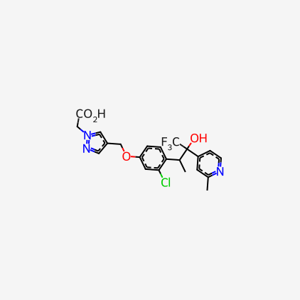 Cc1cc(C(O)(C(C)c2ccc(OCc3cnn(CC(=O)O)c3)cc2Cl)C(F)(F)F)ccn1